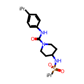 CC(C)c1ccc(NC(=O)N2CCC(NS(=O)(=O)C(C)C)CC2)cc1